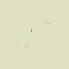 Cc1csc[n+]1CCCCCCCCCCCC[n+]1cscc1C.[I-].[I-]